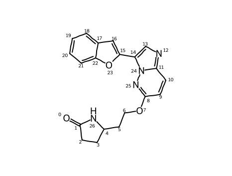 O=C1CCC(CCOc2ccc3ncc(-c4cc5ccccc5o4)n3n2)N1